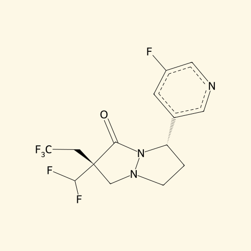 O=C1N2[C@H](c3cncc(F)c3)CCN2C[C@]1(CC(F)(F)F)C(F)F